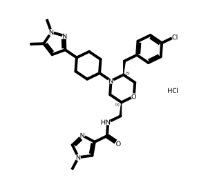 Cc1cc(C2CCC(N3C[C@H](CNC(=O)c4cn(C)cn4)OC[C@@H]3Cc3ccc(Cl)cc3)CC2)nn1C.Cl